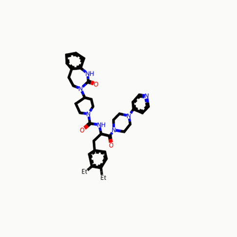 CCc1ccc(CC(NC(=O)N2CCC(N3CCc4ccccc4NC3=O)CC2)C(=O)N2CCN(c3ccncc3)CC2)cc1CC